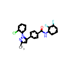 O=C(Nc1cccc(F)c1F)c1ccc(-c2cc(C(F)(F)F)nn2-c2ccccc2Cl)cc1